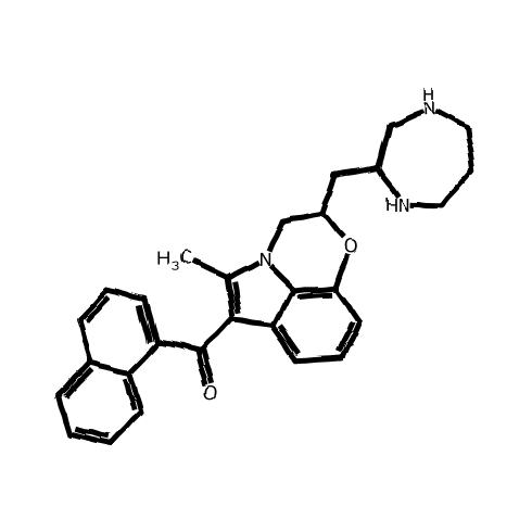 Cc1c(C(=O)c2cccc3ccccc23)c2cccc3c2n1CC(CC1CNCCCN1)O3